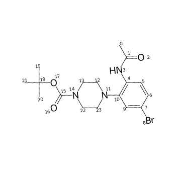 CC(=O)Nc1ccc(Br)cc1N1CCN(C(=O)OC(C)(C)C)CC1